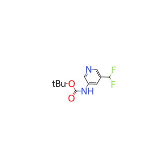 CC(C)(C)OC(=O)Nc1cncc(C(F)F)c1